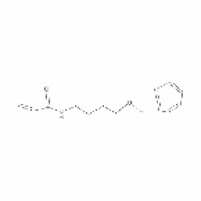 C=CC(=O)NCCCCOCc1ccccc1